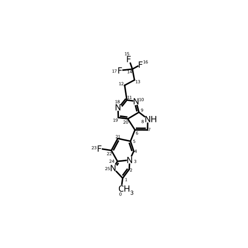 Cc1cn2cc(-c3c[nH]c4nc(CCC(F)(F)F)ncc34)cc(F)c2n1